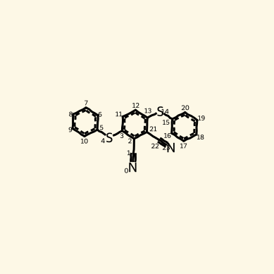 N#Cc1c(Sc2ccccc2)ccc(Sc2ccccc2)c1C#N